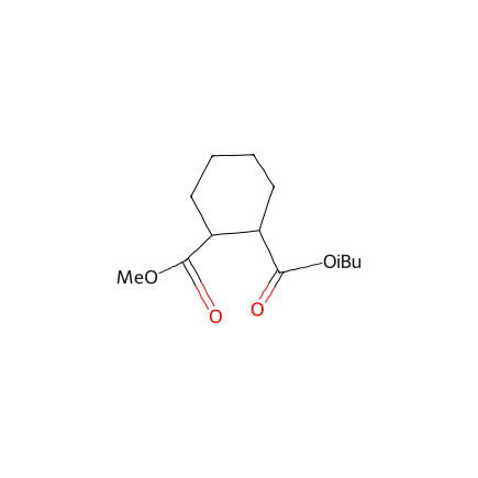 COC(=O)C1CCCCC1C(=O)OCC(C)C